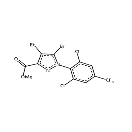 CCc1c(C(=O)OC)nn(-c2c(Cl)cc(C(F)(F)F)cc2Cl)c1Br